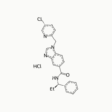 CC[C@@H](NC(=O)c1ccc2c(c1)ncn2Cc1ccc(Cl)cn1)c1ccccc1.Cl